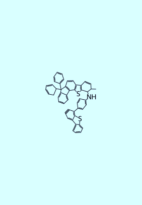 CC1C=Cc2c(sc3c4c(ccc23)C(c2ccccc2)(C2C=CC=CC2)c2ccccc2-4)C1Nc1ccc(-c2c#ccc3c2sc2ccccc23)cc1